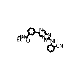 CCNC(=O)c1cccc(-c2cn3nc(Nc4ccccc4C#N)nc3cn2)c1